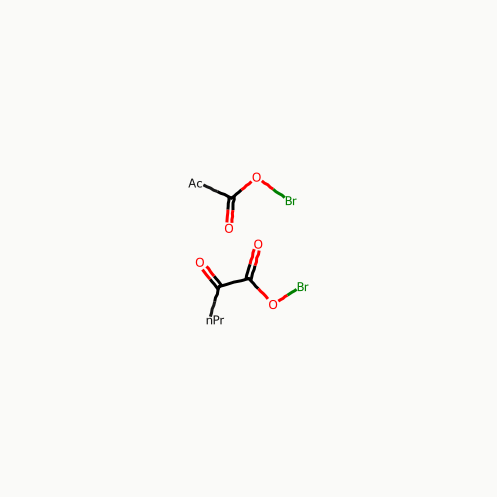 CC(=O)C(=O)OBr.CCCC(=O)C(=O)OBr